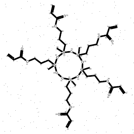 C=CC(=O)OCCC[Si]1(C)OO[Si](C)(CCCOC(=O)C=C)O[Si](C)(CCCOC(=O)C=C)O[Si](C)(CCCOC(=O)C=C)O[Si](C)(CCCOC(=O)C=C)O1